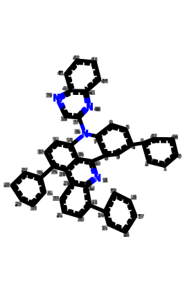 c1ccc(-c2ccc3c(c2)-c2nc4c(-c5ccccc5)cccc4c4c(-c5ccccc5)ccc(c24)N3c2cnc3ccccc3n2)cc1